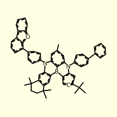 Cc1cc2c3c(c1)N(c1ccc(-c4cccc5c4oc4ccccc45)cc1)c1cc4c(cc1B3c1ccc(C(C)(C)C)cc1N2c1ccc(-c2ccccc2)cc1)C(C)(C)CCC4(C)C